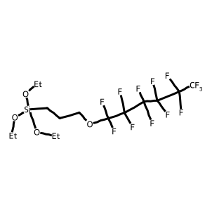 CCO[Si](CCCOC(F)(F)C(F)(F)C(F)(F)C(F)(F)C(F)(F)C(F)(F)F)(OCC)OCC